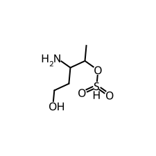 CC(O[SH](=O)=O)C(N)CCO